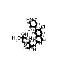 CC(C)(O)Cn1ncc(Nc2ncc3cc(Cl)c([C@@H]4CCNC[C@H]4F)cc3n2)c1Cl